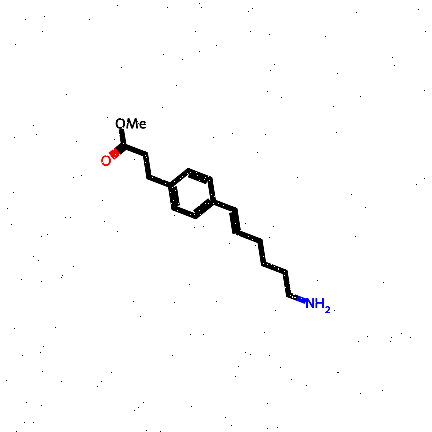 COC(=O)CCc1ccc(C=CCCCCN)cc1